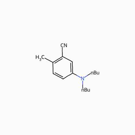 CCCCN(CCCC)c1ccc(C)c(C#N)c1